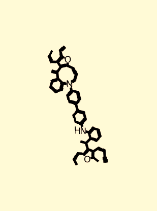 C#C/C=C\c1c(C)oc(/C=C\C)c1C(C)c1ccccc1NC1=CC=C(c2ccc(N3C/C=C\c4oc(C=C)c(/C=C\C)c4C(=C)c4ccccc43)cc2)CC1